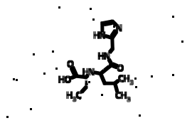 CC[C@@H](NC(CC(C)C)C(=O)NCc1ncc[nH]1)C(=O)O